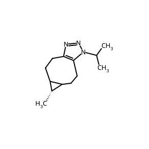 CC(C)n1nnc2c1CCC1C(CC2)[C@H]1C